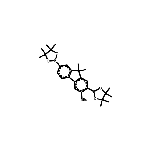 CCCCc1cc2c(cc1B1OC(C)(C)C(C)(C)O1)C(C)(C)c1cc(B3OC(C)(C)C(C)(C)O3)ccc1-2